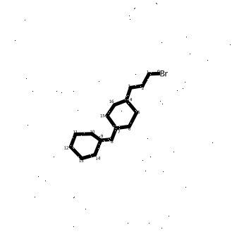 BrCCCC1CCC(CC2CCCCC2)CC1